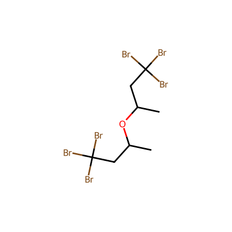 CC(CC(Br)(Br)Br)OC(C)CC(Br)(Br)Br